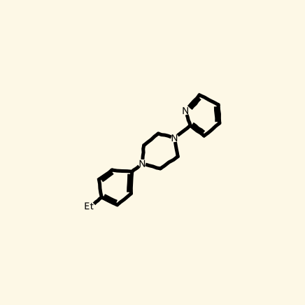 CCc1ccc(N2CCN(c3ccccn3)CC2)cc1